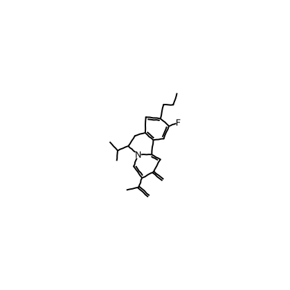 C=C(C)C1=CN2C(=CC1=C)c1cc(F)c(CCC)cc1CC2C(C)C